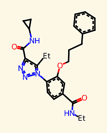 CCNC(=O)c1ccc(-n2nnc(C(=O)NC3CC3)c2CC)c(OCCCc2ccccc2)c1